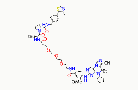 CCC1c2c(C#N)ncn2-c2cnc(Nc3ccc(C(=O)NCCOCCOCCOCCC(=O)N[C@H](C(=O)N4CCC[C@H]4C(=O)NCc4ccc(-c5scnc5C)cc4)C(C)(C)C)cc3OC)nc2N1C1CCCC1